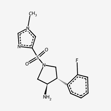 Cn1cnc(S(=O)(=O)N2C[C@H](c3ccccc3F)[C@@H](N)C2)c1